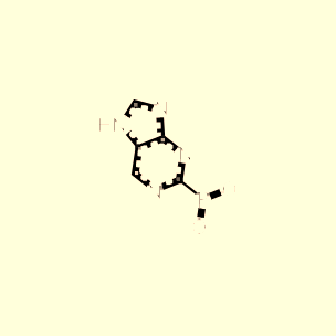 O=P(=O)c1ncc2[nH]cnc2n1